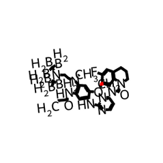 BC(B)(B)N(CCN(C)c1cc(OC)c(Nc2nccc(-n3c(=O)n4c5c(cc(F)cc53)CCC4)n2)cc1NC(=O)C=C)C(B)(B)B